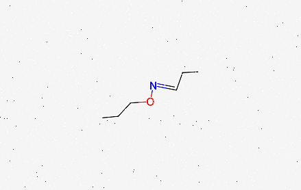 CC/C=N/OCCC